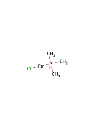 C[PH](C)(C)[Fe][Cl]